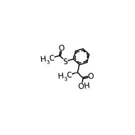 CC(=O)Sc1ccccc1[C@H](C)C(=O)O